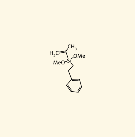 C=C(C)[Si](CCc1ccccc1)(OC)OC